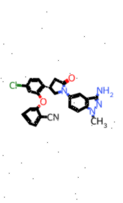 Cn1nc(N)c2cc(N3C[C@@H](c4ccc(Cl)cc4Oc4ccccc4C#N)CC3=O)ccc21